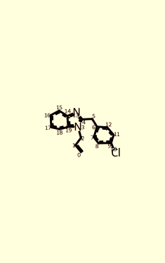 C=CCn1c(Cc2ccc(Cl)cc2)nc2ccccc21